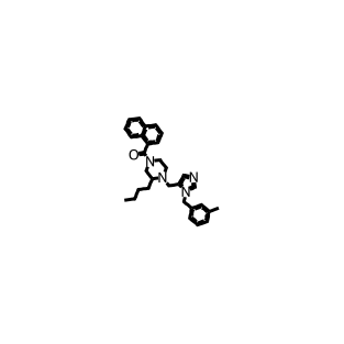 CCCCC1CN(C(=O)c2cccc3ccccc23)CCN1Cc1cncn1Cc1cccc(C)c1